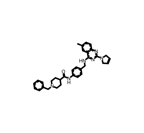 Cc1ccc2nc(N3CC=CC3)nc(NCc3ccc(NC(=O)C4CCN(Cc5ccccc5)CC4)cc3)c2c1